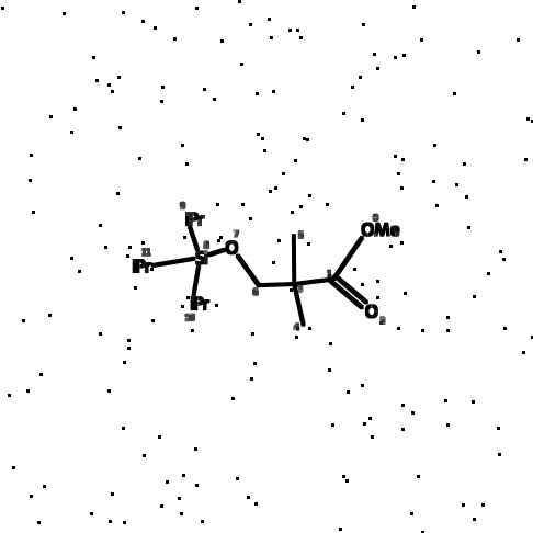 COC(=O)C(C)(C)CO[Si](C(C)C)(C(C)C)C(C)C